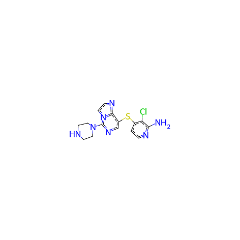 Nc1nccc(Sc2cnc(N3CCNCC3)n3ccnc23)c1Cl